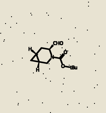 CC(C)(C)OC(=O)N1C[C@@H]2C[C@@H]2C[C@H]1C=O